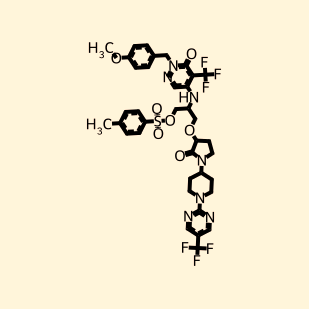 COc1ccc(Cn2ncc(NC(COC3CCN(C4CCN(c5ncc(C(F)(F)F)cn5)CC4)C3=O)COS(=O)(=O)c3ccc(C)cc3)c(C(F)(F)F)c2=O)cc1